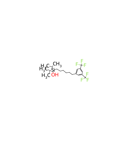 CC(C)[Si](O)(CCCCCCc1cc(C(F)(F)F)cc(C(F)(F)F)c1)C(C)C